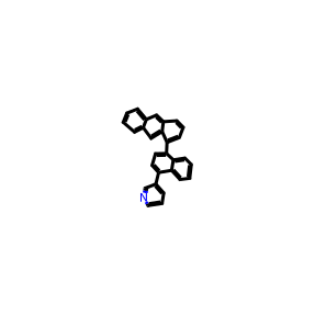 c1cncc(-c2ccc(-c3cccc4cc5ccccc5cc34)c3ccccc23)c1